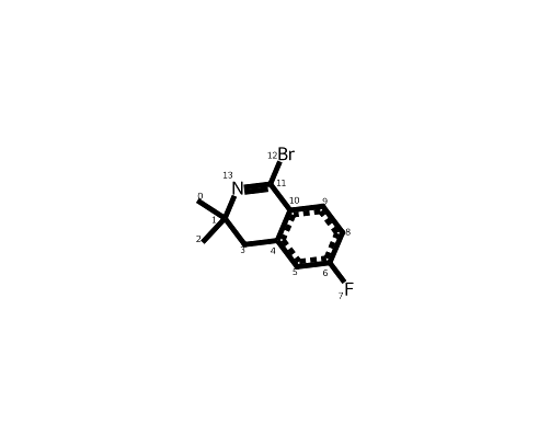 CC1(C)Cc2cc(F)ccc2C(Br)=N1